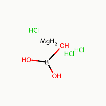 Cl.Cl.Cl.OB(O)O.[MgH2]